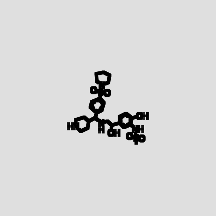 CS(=O)(=O)Nc1cc(C(O)CNC(c2ccc(S(=O)(=O)N3CCCCC3)cc2)C2CCNCC2)ccc1O